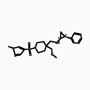 COCC1(CN[C@H]2C[C@H]2c2ccccc2)CCN(S(=O)(=O)c2cnn(C)c2)CC1